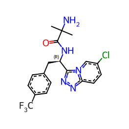 CC(C)(N)C(=O)N[C@H](Cc1ccc(C(F)(F)F)cc1)c1nnc2ccc(Cl)cn12